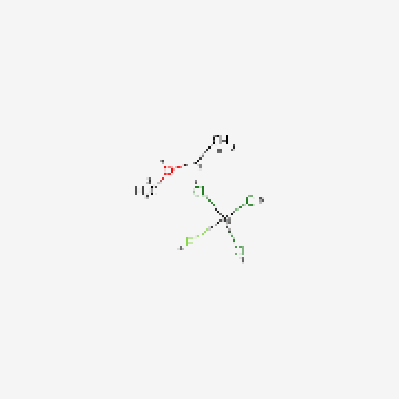 CCOC.FC(Cl)(Cl)Cl